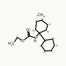 C.CCOC(=O)NC1(C2CCCCC2)CCCCC1